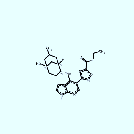 CCOC(=O)c1nc(-c2cnc3[nH]ccc3c2N[C@@H]2CC[C@]3(O)CC(C)C[C@H]2C3)no1